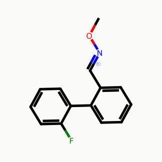 CO/N=C/c1ccccc1-c1ccccc1F